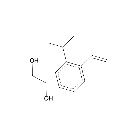 C=Cc1ccccc1C(C)C.OCCO